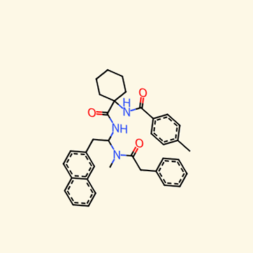 Cc1ccc(C(=O)NC2(C(=O)NC(Cc3ccc4ccccc4c3)N(C)C(=O)Cc3ccccc3)CCCCC2)cc1